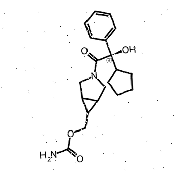 NC(=O)OCC1C2CN(C(=O)[C@](O)(c3ccccc3)C3CCCC3)CC12